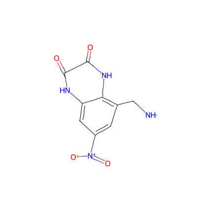 [NH]Cc1cc([N+](=O)[O-])cc2[nH]c(=O)c(=O)[nH]c12